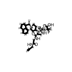 C#CCNC(=O)CNC(=O)[C@@H]1CNS(=O)(=O)N1C1CCN([C@H](C)c2cccc3ccccc23)CC1.O=C(O)C(F)(F)F